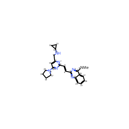 CNc1nc(/C=C/c2nc(CNC3CC3)cc(N3CCCC3)n2)nc2ccccc12